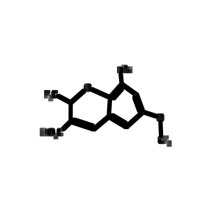 CCCCc1cc(OC(F)(F)F)cc2c1OC(C(F)(F)F)C(C(=O)OCC)=C2